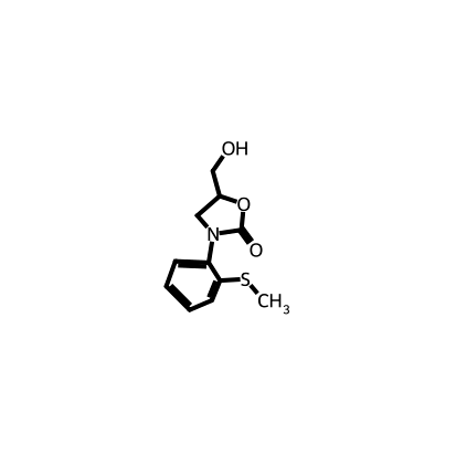 CSc1ccccc1N1CC(CO)OC1=O